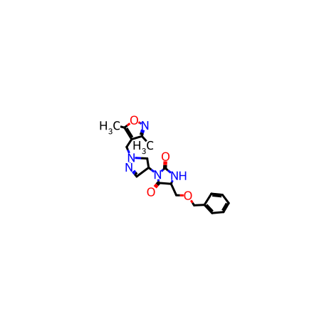 Cc1noc(C)c1CN1CC(N2C(=O)NC(COCc3ccccc3)C2=O)C=N1